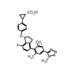 CCOC(=O)[C@H]1C[C@@H]1c1ccc(O[C@@H]2CCc3c(-c4c(C)cc(-c5nnnn5C)cc4C)ccc(F)c32)cc1